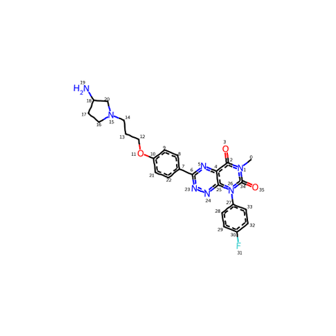 Cn1c(=O)c2nc(-c3ccc(OCCCN4CCC(N)C4)cc3)nnc2n(-c2ccc(F)cc2)c1=O